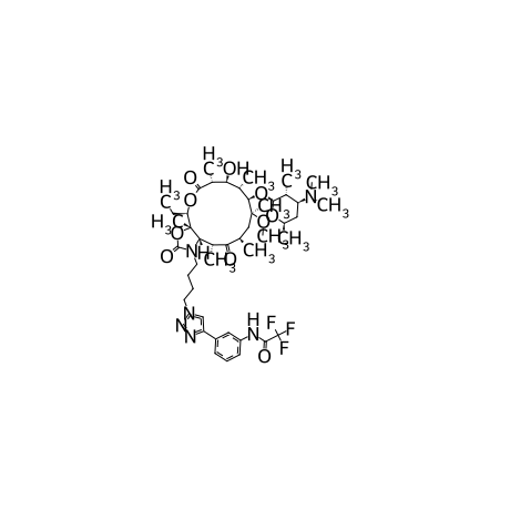 CC[C@H]1OC(=O)[C@H](C)[C@@H](O)[C@H](C)[C@@H](O[C@@H]2O[C@H](C)C[C@H](N(C)C)[C@H]2C)[C@@](C)(OC)C[C@@H](C)C(=O)[C@H](C)[C@@H]2N(CCCCn3cc(-c4cccc(NC(=O)C(F)(F)F)c4)nn3)C(=O)O[C@@]21C